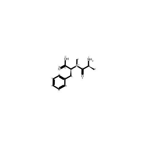 C[C@H](N)C(=O)N(C)[C@@H](Cc1ccccc1)C(=O)O